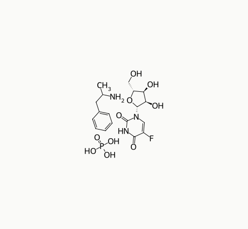 CC(N)Cc1ccccc1.O=P(O)(O)O.O=c1[nH]c(=O)n([C@@H]2O[C@H](CO)[C@@H](O)[C@H]2O)cc1F